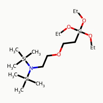 CCO[Si](CCOCCN([Si](C)(C)C)[Si](C)(C)C)(OCC)OCC